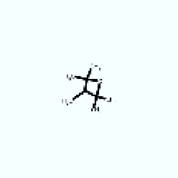 [CH2]C1C(C)(C)OC1(C)C